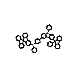 c1ccc(N(c2ccc(-c3ccc4c(c3)c3cc(C5(c6ccccc6)c6ccccc6-c6ccccc65)ccc3n4-c3ccccc3)cc2)c2ccc3c(c2)-c2ccccc2C32c3ccccc3-c3ccccc32)cc1